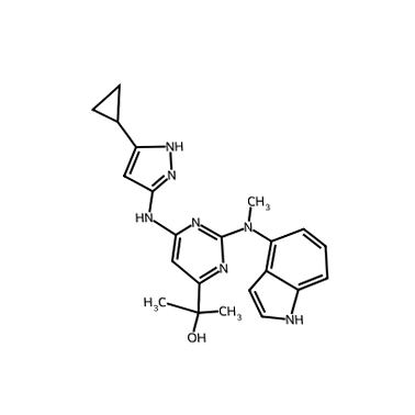 CN(c1nc(Nc2cc(C3CC3)[nH]n2)cc(C(C)(C)O)n1)c1cccc2[nH]ccc12